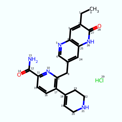 CCc1cc2ncc(Cc3nc(C(N)=O)ccc3C3=CCNCC3)cc2[nH]c1=O.Cl